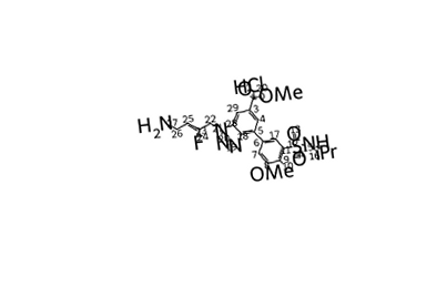 COC(=O)c1cc(-c2ccc(OC)c(S(=O)(=O)NC(C)C)c2)c2nnn(C/C(F)=C/CN)c2c1.Cl